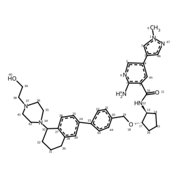 Cn1cc(-c2cnc(N)c(C(=O)N[C@H]3CCC[C@@H]3OCc3ccc(-c4ccc5c(c4)CCCC5N4CCN(CCO)CC4)cc3)c2)cn1